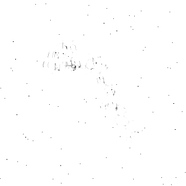 COC(=O)c1ccc2c(ccn2C(=O)c2cc(NC(=O)c3cc(NC(=O)C4(C(N)=O)NC=CN4C)cn3C)cn2C)c1